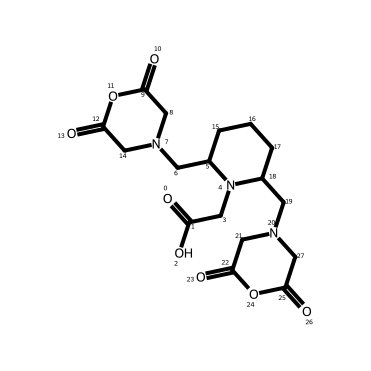 O=C(O)CN1C(CN2CC(=O)OC(=O)C2)CCCC1CN1CC(=O)OC(=O)C1